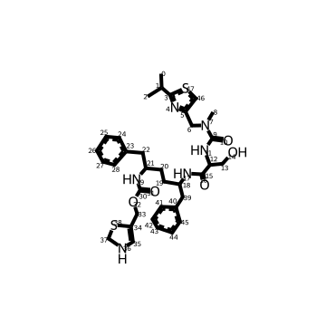 CC(C)c1nc(CN(C)C(=O)NC(CO)C(=O)NC(CCC(Cc2ccccc2)NC(=O)OCC2=CNCS2)Cc2ccccc2)cs1